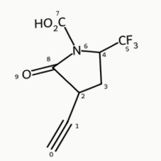 C#CC1CC(C(F)(F)F)N(C(=O)O)C1=O